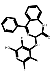 O=C1Nc2ccccc2C(c2ccccc2)=NC1Nc1c(F)c(O)nc(F)c1F